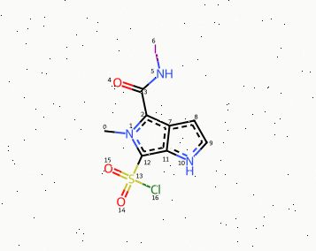 Cn1c(C(=O)NI)c2cc[nH]c2c1S(=O)(=O)Cl